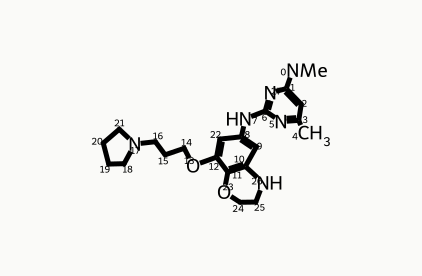 CNc1cc(C)nc(Nc2cc3c(c(OCCCN4CCCC4)c2)OCCN3)n1